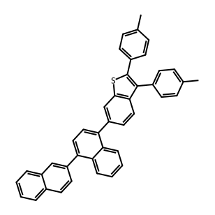 Cc1ccc(-c2sc3cc(-c4ccc(-c5ccc6ccccc6c5)c5ccccc45)ccc3c2-c2ccc(C)cc2)cc1